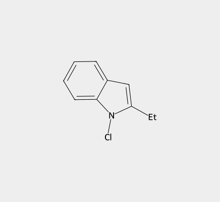 CCc1cc2ccccc2n1Cl